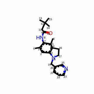 Cc1cc2c(c(C)c1NC(=O)CC(C)(C)C)CCN2Cc1cccnc1